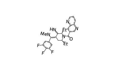 CC[C@H]1C/C(=C(/NC)c2cc(F)c(F)c(F)c2)C(=N)[C@@H](CC)N1C(=O)c1cnc2cccnc2c1